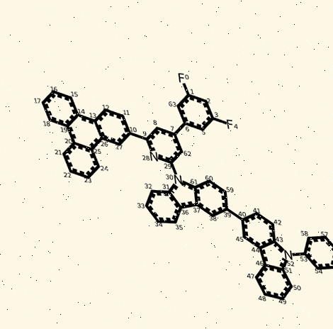 Fc1cc(F)cc(-c2cc(-c3ccc4c5ccccc5c5ccccc5c4c3)nc(-n3c4ccccc4c4cc(-c5ccc6c(c5)c5ccccc5n6-c5ccccc5)ccc43)c2)c1